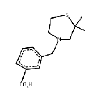 CC1(C)CN(Cc2cccc(C(=O)O)c2)CCS1